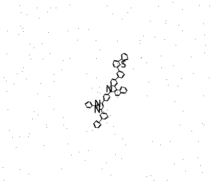 c1ccc(-c2cccc(-c3cc(-c4ccc(-c5nc6ccc(-c7cccc(-c8cccc9c8sc8ccccc89)c7)cc6c6c5ccc5ccccc56)cc4)nc(-c4ccccc4)n3)c2)cc1